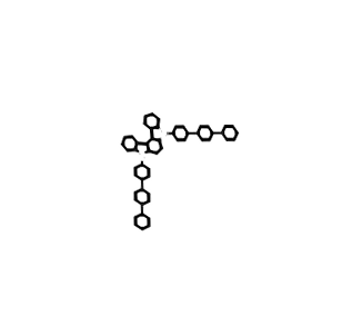 c1ccc(-c2ccc(-c3ccc(-n4c5ccccc5c5c6c7ccccc7n(-c7ccc(-c8ccc(-c9ccccc9)cc8)cc7)c6ccc54)cc3)cc2)cc1